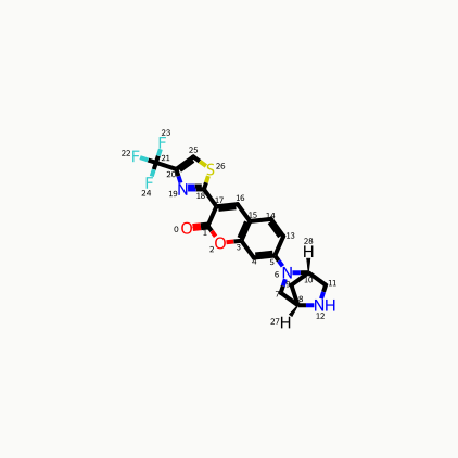 O=c1oc2cc(N3C[C@@H]4C[C@H]3CN4)ccc2cc1-c1nc(C(F)(F)F)cs1